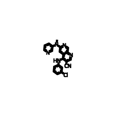 CN(c1cccnc1)c1cc2c(Nc3cccc(Cl)c3)c(C#N)cnc2cn1